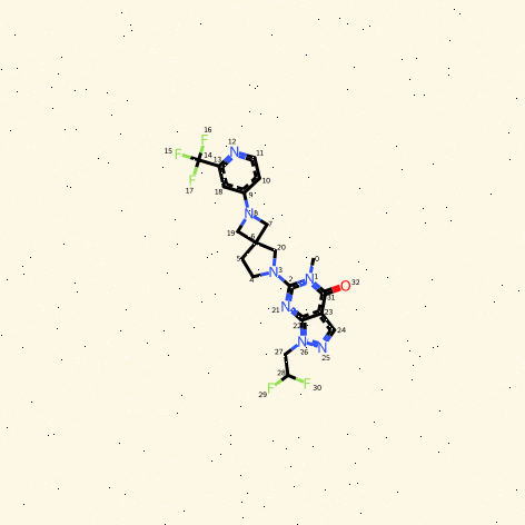 Cn1c(N2CCC3(CN(c4ccnc(C(F)(F)F)c4)C3)C2)nc2c(cnn2CC(F)F)c1=O